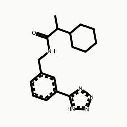 CC(C(=O)NCc1cccc(-c2nnn[nH]2)c1)C1CCCCC1